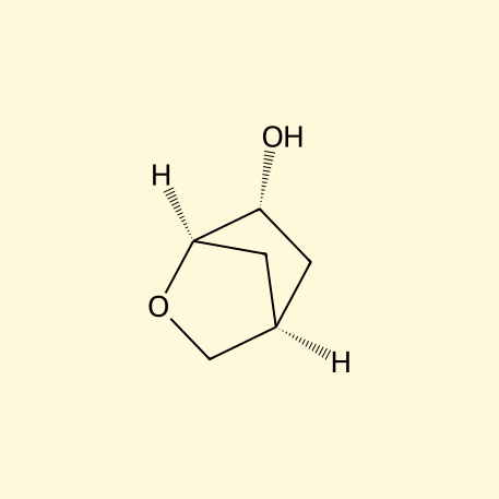 O[C@@H]1C[C@H]2CO[C@@H]1C2